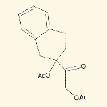 CC(=O)OCC(=O)C1(OC(C)=O)CCc2ccccc2C1